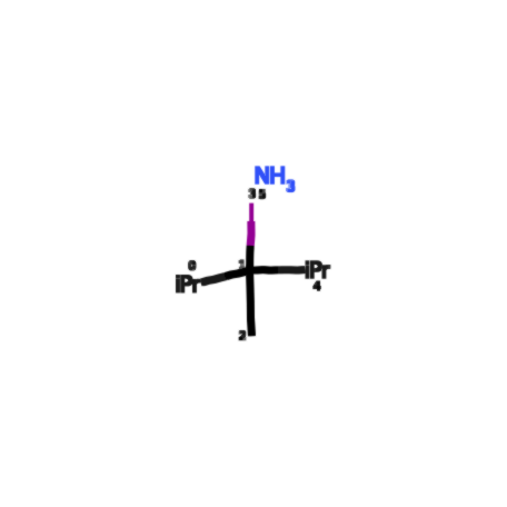 CC(C)C(C)(I)C(C)C.N